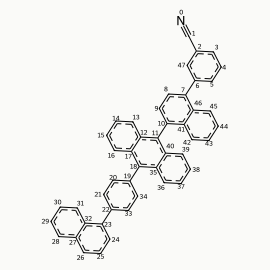 N#Cc1cccc(-c2ccc(-c3c4ccccc4c(-c4ccc(-c5cccc6ccccc56)cc4)c4ccccc34)c3ccccc23)c1